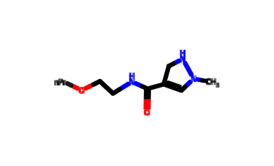 CCCOCCNC(=O)C1=CN(C)NC1